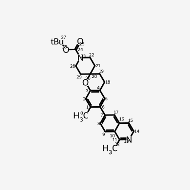 Cc1cc2c(cc1-c1ccc3c(C)nccc3c1)CCC1(CCN(C(=O)OC(C)(C)C)CC1)O2